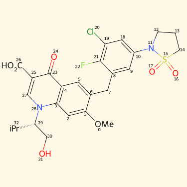 COc1cc2c(cc1Cc1cc(N3CCCS3(=O)=O)cc(Cl)c1F)c(=O)c(C(=O)O)cn2[C@H](CO)C(C)C